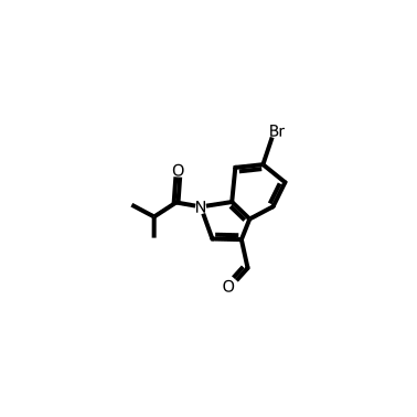 CC(C)C(=O)n1cc(C=O)c2ccc(Br)cc21